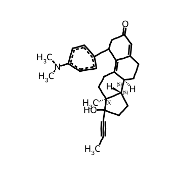 CC#CC1(O)CC[C@H]2[C@@H]3CCC4=CC(=O)CC(c5ccc(N(C)C)cc5)C4=C3CC[C@@]21C